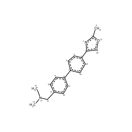 Cc1nc(-c2ccc(-c3ccc(CN(C)C)cc3)cc2)no1